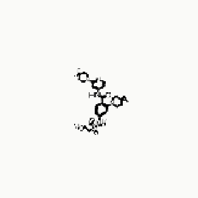 O=C(Nc1ccnc(N2CCC(F)(F)CC2)c1)c1ccc(NS(=O)(=O)CCO)cc1N1CCC2(CC1)CC2